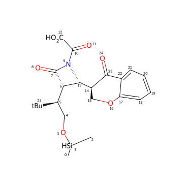 C[SiH](C)OC[C@H]([C@@H]1C(=O)N(C(=O)C(=O)O)[C@@H]1[C@@H]1COc2ccccc2C1=O)C(C)(C)C